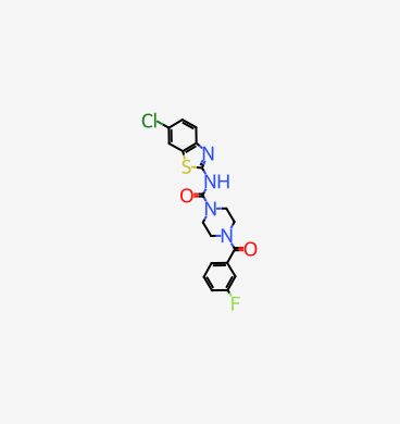 O=C(Nc1nc2ccc(Cl)cc2s1)N1CCN(C(=O)c2cccc(F)c2)CC1